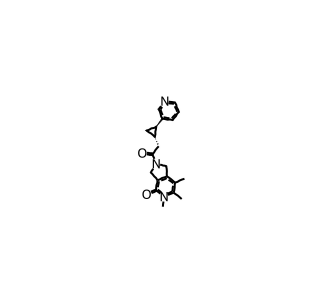 Cc1c2c(c(=O)n(C)c1C)CN(C(=O)C[C@@H]1C[C@H]1c1cccnc1)C2